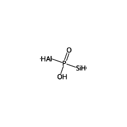 O=[P](O)([AlH])[SiH]